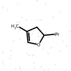 CC1=COC(C(C)C)C1